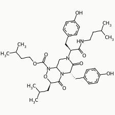 CC(C)CCNC(=O)[C@H](Cc1ccc(O)cc1)N1CC2N(C(=O)OCCC(C)C)O[C@H](CC(C)C)C(=O)N2[C@@H](Cc2ccc(O)cc2)C1=O